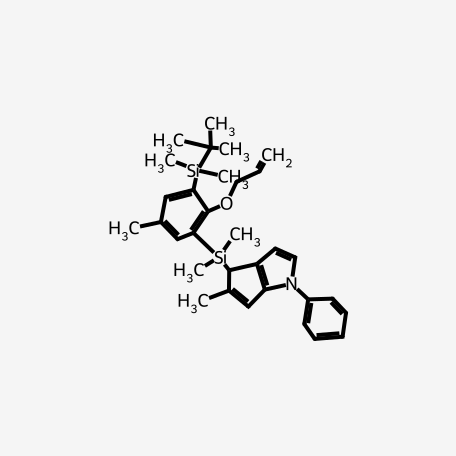 C=CCOc1c([Si](C)(C)C2C(C)=Cc3c2ccn3-c2ccccc2)cc(C)cc1[Si](C)(C)C(C)(C)C